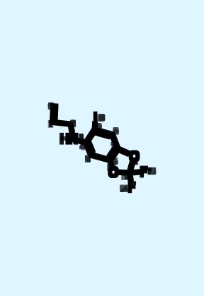 C=CCNc1cc2c(cc1I)OC(F)(F)O2